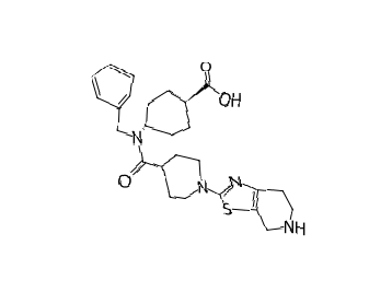 O=C(C1CCN(c2nc3c(s2)CNCC3)CC1)N(Cc1ccccc1)[C@H]1CC[C@H](C(=O)O)CC1